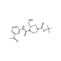 CC(=O)c1cccc(NC(=O)N2CCN(C(=O)OC(C)(C)C)CC2CO)c1